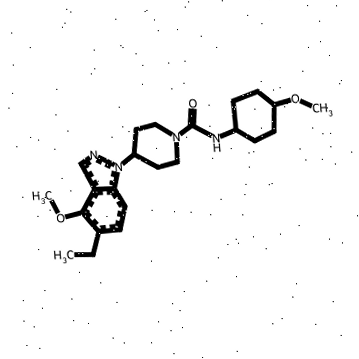 CCc1ccc2c(cnn2C2CCN(C(=O)NC3CCC(OC)CC3)CC2)c1OC